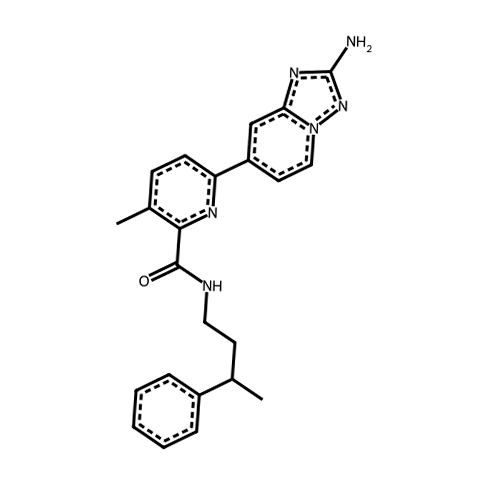 Cc1ccc(-c2ccn3nc(N)nc3c2)nc1C(=O)NCCC(C)c1ccccc1